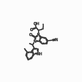 CCC(C(=O)O)n1c(=O)n(C(C)c2c[nH]c3cccc(C)c23)c2ccc(C#N)cc21